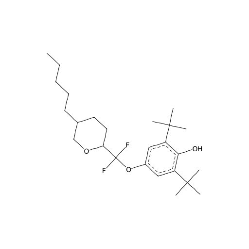 CCCCCC1CCC(C(F)(F)Oc2cc(C(C)(C)C)c(O)c(C(C)(C)C)c2)OC1